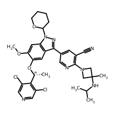 COc1cc2c(cc1O[C@H](C)c1c(Cl)cncc1Cl)c(-c1cnc(N3CC(C)(NC(C)C)C3)c(C#N)c1)nn2C1CCCCO1